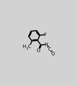 Cc1cccc(F)c1C(=O)N=C=O